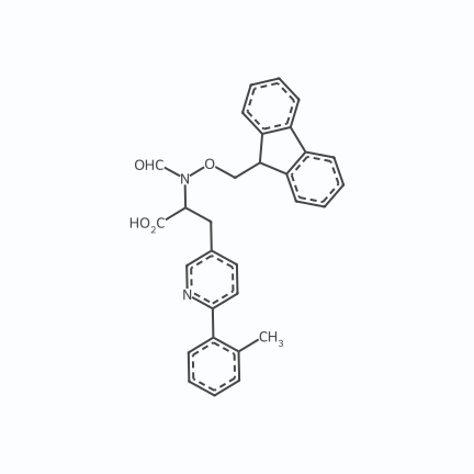 Cc1ccccc1-c1ccc(CC(C(=O)O)N(C=O)OCC2c3ccccc3-c3ccccc32)cn1